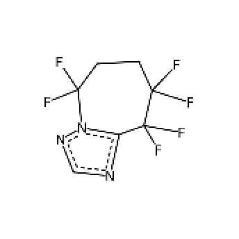 FC1(F)CCC(F)(F)C(F)(F)c2ncnn21